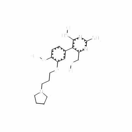 CNc1nc(N)nc(COC)c1-c1ccc(OC)c(OCCCN2CCCC2)c1